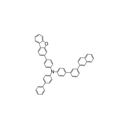 c1ccc(-c2ccc(N(c3ccc(-c4cccc(-c5ccc6ccccc6c5)c4)cc3)c3ccc(-c4ccc5c(c4)oc4ccccc45)cc3)cc2)cc1